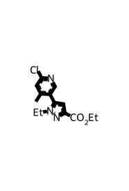 CCOC(=O)c1cc(-c2cnc(Cl)cc2C)n(CC)n1